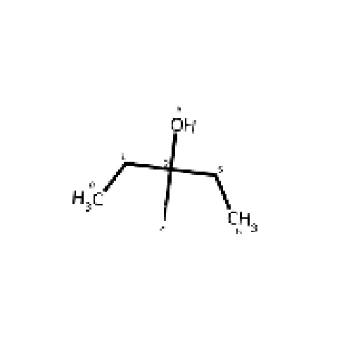 CCC(O)(I)CC